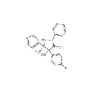 CN1C(c2ccccc2)NC(C)(c2ccncc2)C1(O)c1ccc(F)cc1